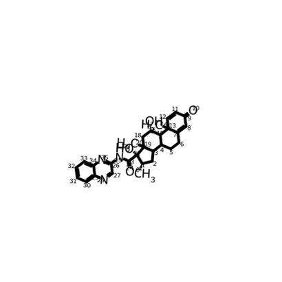 C[C@@H]1CC2C3CCC4=CC(=O)C=CC4(C)C3[C@@H](O)CC2(C)[C@@]1(O)C(=O)Nc1cnc2ccccc2n1